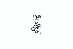 CCN(CC)C1CCN(c2cc3cccc(C)c3[nH]c2=O)CC1.Cl